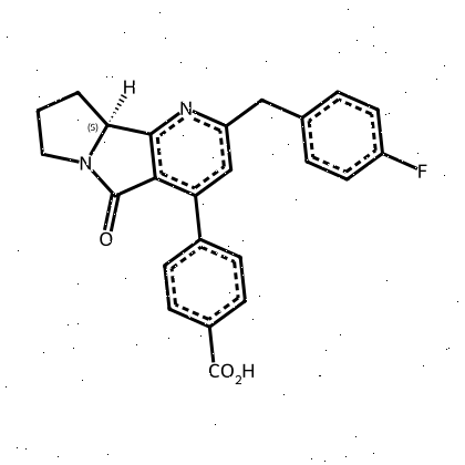 O=C(O)c1ccc(-c2cc(Cc3ccc(F)cc3)nc3c2C(=O)N2CCC[C@@H]32)cc1